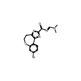 CN(C)/C=N/C(=O)c1nc2c(s1)CCOc1cc(Br)ccc1-2